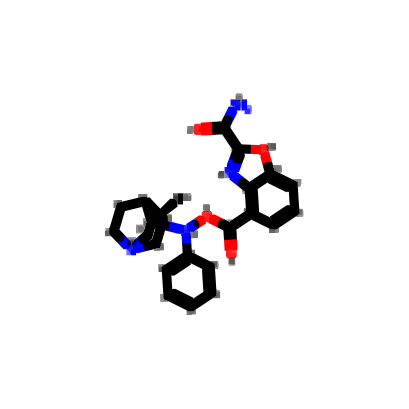 NC(=O)c1nc2c(C(=O)ON(c3ccccc3)[C@@H]3CN4CCC3CC4)cccc2o1